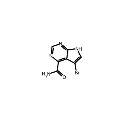 NC(=O)c1ncnc2[nH]cc(Br)c12